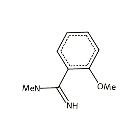 CNC(=N)c1ccccc1OC